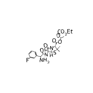 CCOC(=O)OC(C)OC(=O)[C@@H]1N2C(=O)[C@@H](NC(=O)C(N)c3cccc(F)c3)[C@H]2SC1(C)C